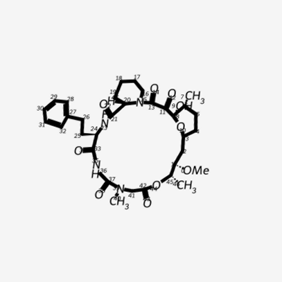 CO[C@H]1CC2CC[C@@H](C)[C@@](O)(O2)C(=O)C(=O)N2CCCC[C@H]2C(=O)N[C@H](CCc2ccccc2)C(=O)NCC(=O)N(C)CC(=O)O[C@H]1C